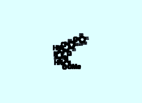 COCc1nc2c(cnc3[nH]cc(C(=O)c4ccc(OC5CCCC5)cc4Cl)c32)[nH]c1=O